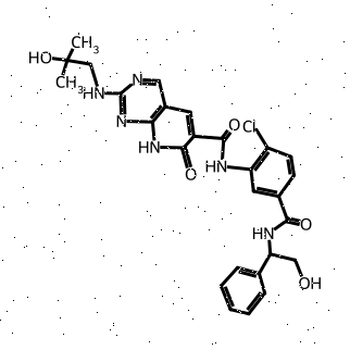 CC(C)(O)CNc1ncc2cc(C(=O)Nc3cc(C(=O)NC(CO)c4ccccc4)ccc3Cl)c(=O)[nH]c2n1